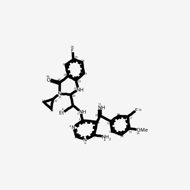 CCC(Nc1ncnc(N)c1C(=N)c1ccc(OC)c(F)c1)C1Nc2ccc(F)cc2C(=O)N1C1CC1